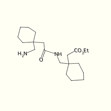 CCOC(=O)CC1(CNC(=O)CC2(CN)CCCCC2)CCCCC1